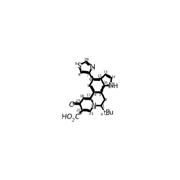 CC(C)(C)C1Cc2c(cc(-c3cscn3)c3cc[nH]c23)-c2cc(=O)c(C(=O)O)cn21